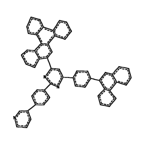 c1cncc(-c2ccc(-c3nc(-c4ccc(-c5cc6ccccc6c6ccccc56)cc4)cc(-c4cc5c6ccccc6c6ccccc6c5c5ccccc45)n3)cc2)c1